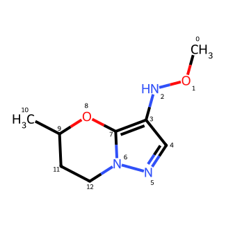 CONc1cnn2c1OC(C)CC2